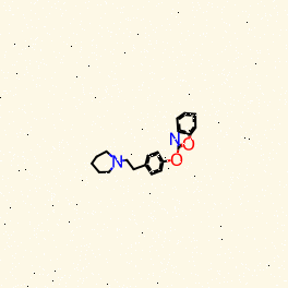 c1ccc2oc(Oc3ccc(CCN4CCCCC4)cc3)nc2c1